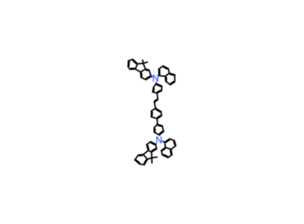 CC1(C)c2ccccc2-c2ccc(N(c3ccc(/C=C/c4ccc(-c5ccc(N(c6ccc7c(c6)C(C)(C)c6ccccc6-7)c6cccc7ccccc67)cc5)cc4)cc3)c3cccc4ccccc34)cc21